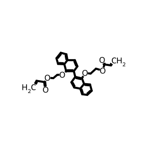 C=CC(=O)OCCOc1c(-c2ccc3ccccc3c2OCCOC(=O)C=C)ccc2ccccc12